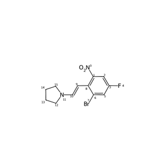 O=[N+]([O-])c1cc(F)cc(Br)c1/C=C/N1CCCC1